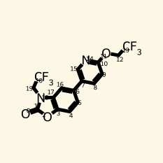 O=c1oc2ccc(-c3ccc(OCC(F)(F)F)nc3)cc2n1CC(F)(F)F